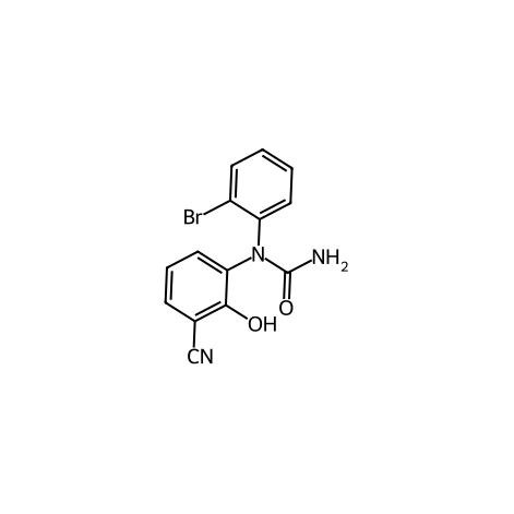 N#Cc1cccc(N(C(N)=O)c2ccccc2Br)c1O